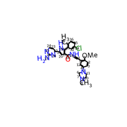 COc1ccc(N2CCN(C)CC2)cc1C#CNC(=O)c1cc(-c2ccnc(N)n2)[nH]c1-c1cc(Cl)ccc1C